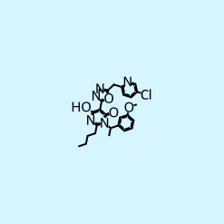 CCCCc1nc(O)c(-c2nnc(Cc3ccc(Cl)cn3)o2)c(=O)n1C(C)c1cccc(OC)c1